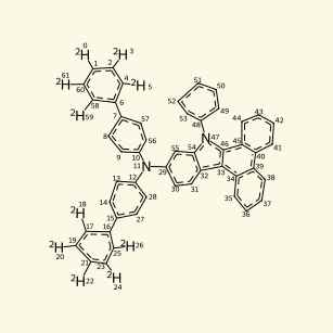 [2H]c1c([2H])c([2H])c(-c2ccc(N(c3ccc(-c4c([2H])c([2H])c([2H])c([2H])c4[2H])cc3)c3ccc4c5c6ccccc6c6ccccc6c5n(-c5ccccc5)c4c3)cc2)c([2H])c1[2H]